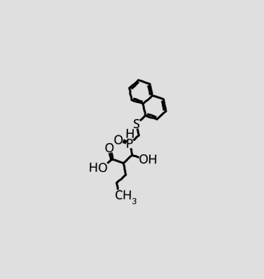 CCCC(C(=O)O)C(O)[PH](=O)CSc1cccc2ccccc12